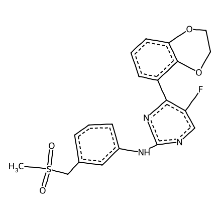 CS(=O)(=O)Cc1cccc(Nc2ncc(F)c(-c3cccc4c3OCCO4)n2)c1